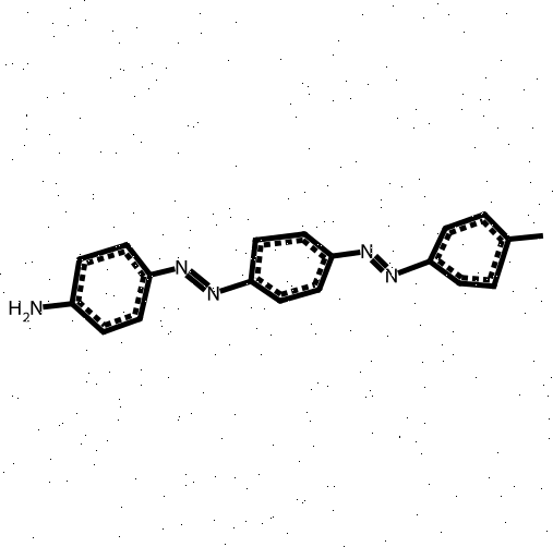 Cc1ccc(N=Nc2ccc(N=Nc3ccc(N)cc3)cc2)cc1